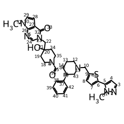 Cn1nccc1-c1ccc(CN2CC[C@@H](C(=O)N3CCC(O)(Cn4cnc5c(ccn5C)c4=O)CC3)[C@H](c3ccccc3)C2)s1